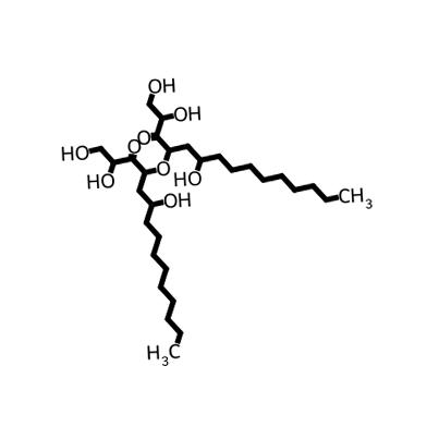 CCCCCCCCCC(O)CC(OC(CC(O)CCCCCCCCC)C(=O)C(O)CO)C(=O)C(O)CO